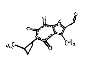 Cc1c(C=O)sc2[nH]c(=O)n(C3CC3C)c(=O)c12